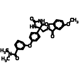 COc1ccc2c(c1)C(=O)N(C[C@@]1(c3ccc(Oc4cccc(C(=O)N(C)C)c4)cc3)NC(=O)NC1=O)C2